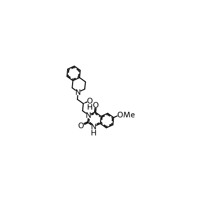 COc1ccc2[nH]c(=O)n(C[C@H](O)CN3CCc4ccccc4C3)c(=O)c2c1